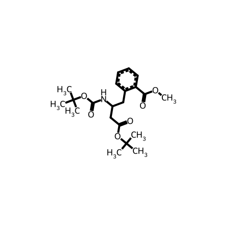 COC(=O)c1ccccc1CC(CC(=O)OC(C)(C)C)NC(=O)OC(C)(C)C